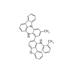 Cc1cc(-c2ccc3oc4ccccc4c3c2Nc2ccccc2C)c2c(c1)-n1c3ccccc3c3cccc(c31)B2